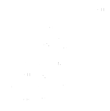 CC(C)(C)C(=O)N1C(=O)NC(NS(=O)(=O)c2ccc(O)cc2)C1=O